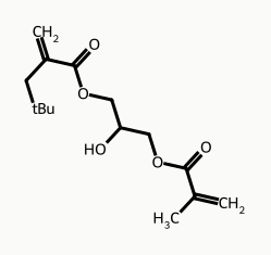 C=C(C)C(=O)OCC(O)COC(=O)C(=C)CC(C)(C)C